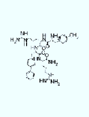 Cc1ccc(C[C@H](N)C(=O)N[C@@H](CCCNC(=N)N)C(=O)N[C@@H](Cc2ccc(-c3ccccc3)cc2)C(=O)N[C@@H](CCCNC(=N)N)C(N)=O)cc1